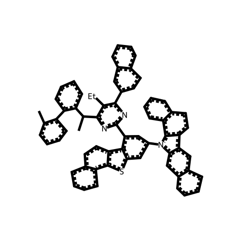 CCc1c(-c2ccc3ccccc3c2)nc(-c2cc(-n3c4cc5ccccc5cc4c4ccc5ccccc5c43)cc3sc4c5ccccc5ccc4c23)nc1C(C)c1ccccc1-c1ccccc1C